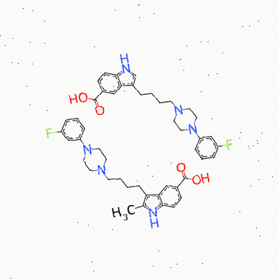 Cc1[nH]c2ccc(C(=O)O)cc2c1CCCCN1CCN(c2cccc(F)c2)CC1.O=C(O)c1ccc2[nH]cc(CCCCN3CCN(c4cccc(F)c4)CC3)c2c1